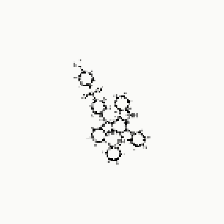 N#Cc1ccc(S(=O)(=O)c2ccc(-n3c4ccccc4c4c5c(c6ccccc6n5-c5ccccc5)c5[nH]c6ccccc6c5c43)cc2)cc1